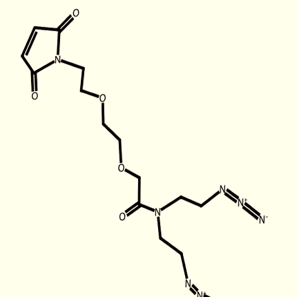 [N-]=[N+]=NCCN(CCN=[N+]=[N-])C(=O)COCCOCCN1C(=O)C=CC1=O